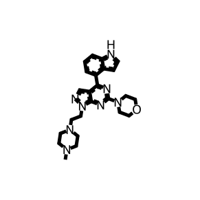 CN1CCN(CCn2ncc3c(-c4cccc5[nH]ccc45)nc(N4CCOCC4)nc32)CC1